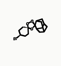 CC[C@H]1CC[C@]2(CC1)OO[C@]1(O2)C2CC3CC(C2)CC1C3